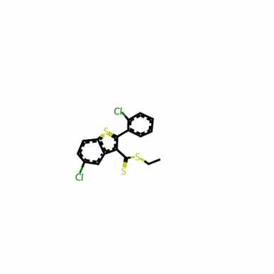 CCSC(=S)c1c(-c2ccccc2Cl)sc2ccc(Cl)cc12